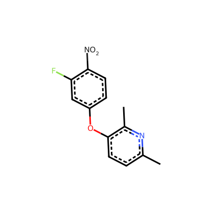 Cc1ccc(Oc2ccc([N+](=O)[O-])c(F)c2)c(C)n1